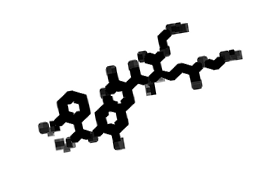 CC(=O)OCOC(=O)CC[C@@H](NC(=O)c1cc2cc(Cl)c(OC(C)c3ccccc3[N+](=O)[O-])cc2oc1=O)C(=O)OCOC(C)=O